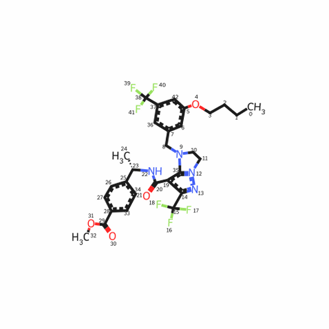 CCCCOc1cc(CN2CCn3nc(C(F)(F)F)c(C(=O)N[C@@H](C)c4ccc(C(=O)OC)cc4)c32)cc(C(F)(F)F)c1